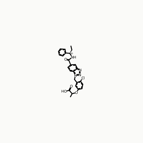 CC[C@@H](NC(=O)c1ccc2c(c1)nnn2Cc1cc(OC(C)C(=O)O)ccc1Cl)c1ccccc1